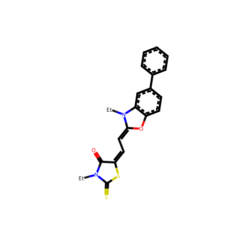 CCN1C(=O)/C(=C\C=C2/Oc3ccc(-c4ccccc4)cc3N2CC)SC1=S